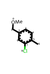 COCc1ccc(C)c(Cl)c1